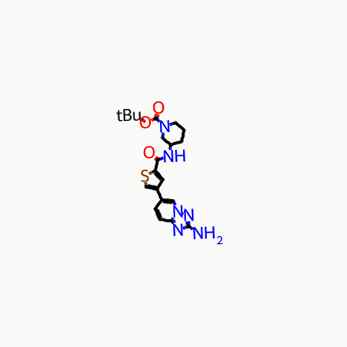 CC(C)(C)OC(=O)N1CCCC(NC(=O)c2cc(-c3ccc4nc(N)nn4c3)cs2)C1